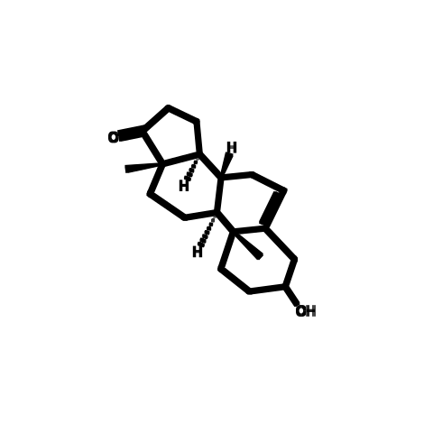 C[C@]12CCC(O)CC1=CC[C@@H]1[C@@H]2CC[C@]2(C)C(=O)CC[C@@H]12